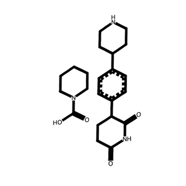 O=C(O)N1CCCCC1.O=C1CCC(c2ccc(C3CCNCC3)cc2)C(=O)N1